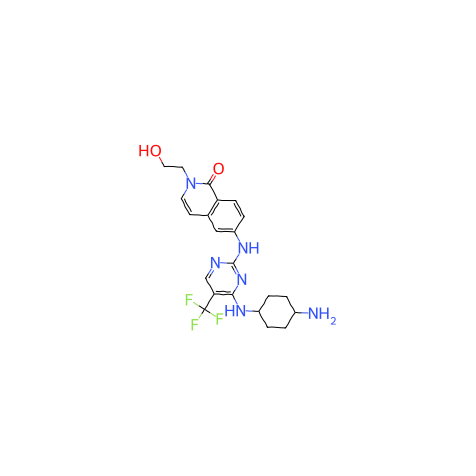 NC1CCC(Nc2nc(Nc3ccc4c(=O)n(CCO)ccc4c3)ncc2C(F)(F)F)CC1